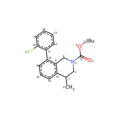 CC1CN(C(=O)OC(C)(C)C)Cc2c(-c3ccccc3F)cccc21